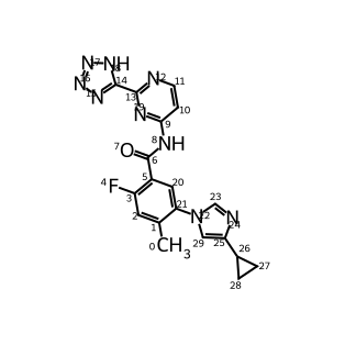 Cc1cc(F)c(C(=O)Nc2ccnc(-c3nnn[nH]3)n2)cc1-n1cnc(C2CC2)c1